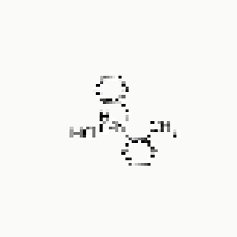 Cc1ccccc1N(C)Cc1ccccc1.Cl